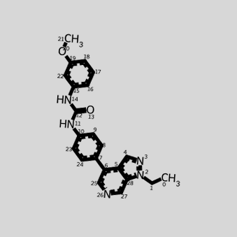 CCn1ncc2c(-c3ccc(NC(=O)Nc4cccc(OC)c4)cc3)cncc21